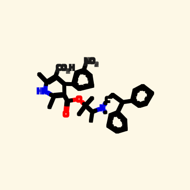 CC1=C(C(=O)O)C(c2cccc([N+](=O)[O-])c2)C(C(=O)OC(C)(C)C(C)N(C)CCC(c2ccccc2)c2ccccc2)=C(C)N1